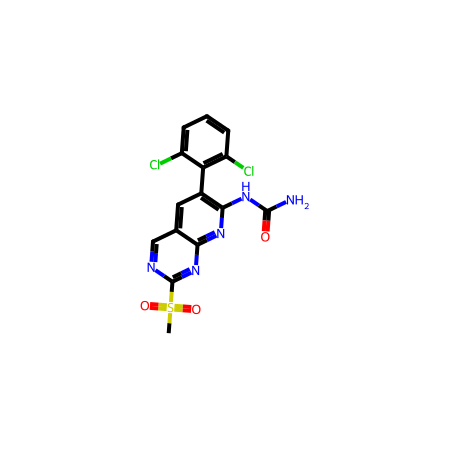 CS(=O)(=O)c1ncc2cc(-c3c(Cl)cccc3Cl)c(NC(N)=O)nc2n1